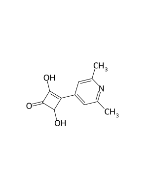 Cc1cc(C2=C(O)C(=O)C2O)cc(C)n1